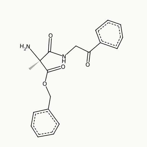 C[C@](N)(C(=O)NCC(=O)c1ccccc1)C(=O)OCc1ccccc1